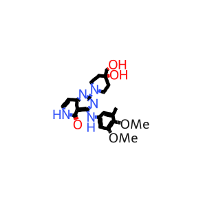 COc1cc(Nc2nc(N3CCC(O)(CO)CC3)nc3cc[nH]c(=O)c23)cc(C)c1OC